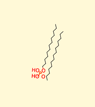 CCCCCCCCCCCCCCC.CCCCCCCCCCCCCOP(=O)(O)O